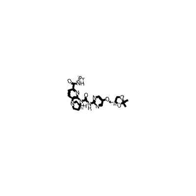 CC(C)NC(=O)c1ccc2c(n1)N(C(=O)Nc1ncc(OC[C@@H]3COC(C)(C)O3)cn1)[C@H]1CCN2C1